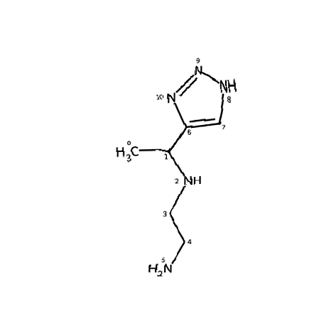 CC(NCCN)c1c[nH]nn1